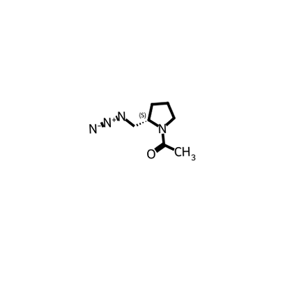 CC(=O)N1CCC[C@H]1CN=[N+]=[N-]